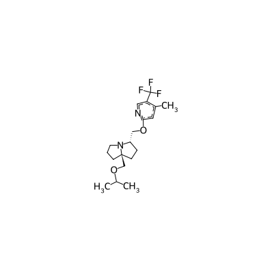 Cc1cc(OC[C@@H]2CC[C@]3(COC(C)C)CCCN23)ncc1C(F)(F)F